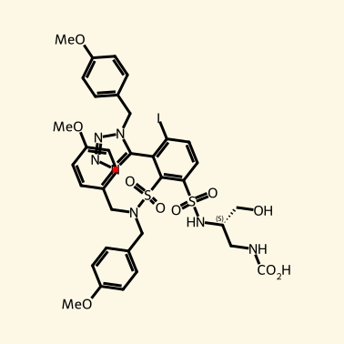 COc1ccc(CN(Cc2ccc(OC)cc2)S(=O)(=O)c2c(S(=O)(=O)N[C@H](CO)CNC(=O)O)ccc(I)c2-c2nnnn2Cc2ccc(OC)cc2)cc1